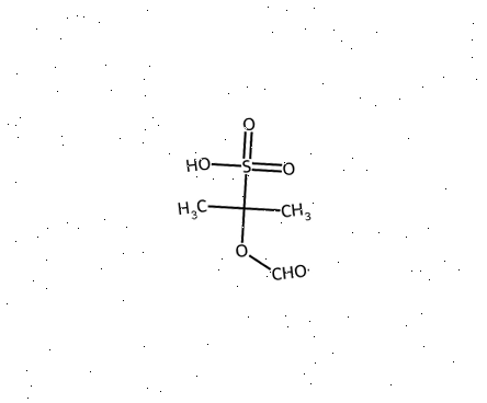 CC(C)(O[C]=O)S(=O)(=O)O